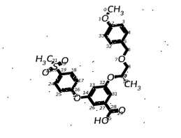 COc1ccc(COC[C@H](C)Oc2cc(Oc3ccc(S(C)(=O)=O)cc3)cc(C(=O)O)c2)cc1